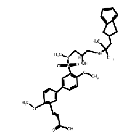 COc1ccc(-c2ccc(OC)c(S(=O)(=O)N(C)C[C@H](O)CNC(C)(C)CC3Cc4ccccc4C3)c2)cc1C=CC(=O)O